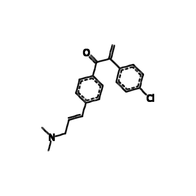 C=C(C(=O)c1ccc(C=CCN(C)C)cc1)c1ccc(Cl)cc1